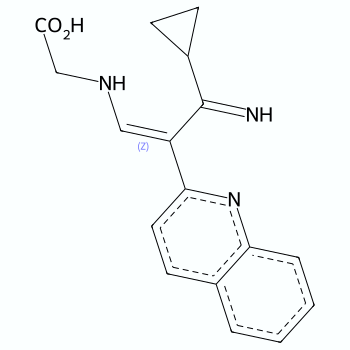 N=C(/C(=C\NCC(=O)O)c1ccc2ccccc2n1)C1CC1